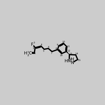 C=C/C(F)=C\CCCc1cccc([C@H]2CCNN2)c1